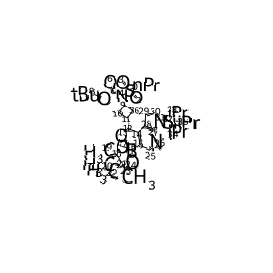 CCCS(=O)(=O)N(C(=O)OC(C)(C)C)C1CC(C(=O)c2c(B3OC(C)(C)C(C)(C)O3)cnc3c2ccn3[Si](C(C)C)(C(C)C)C(C)C)C1